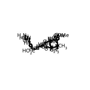 C=CC1=C(C)c2cc3[nH]c(cc4[nH]c(cc5nc(cc1n2)C(C)=C5CCC(=O)OC)c(CCC(=O)NNC(=O)OCCSSCC(NC(=O)c1ccc(NCc2cnc5nc(N)[nH]c(=O)c5n2)cc1)C(=O)O)c4C)[C@@]1(C)C3=CC=C(C(=O)OC)[C@H]1C(=O)OC